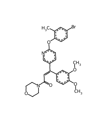 COc1ccc(/C(=C\C(=O)N2CCOCC2)c2ccc(Oc3ccc(Br)cc3C)nc2)cc1OC